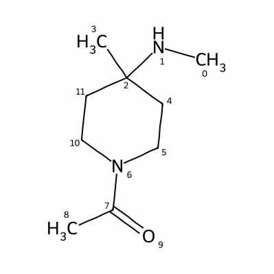 CNC1(C)CCN(C(C)=O)CC1